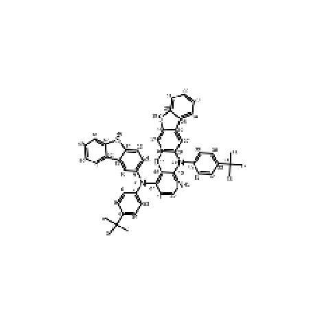 CC(C)(C)c1ccc(N2c3cc4c(cc3B3c5cc6sc7ccccc7c6cc5N(c5ccc(C(C)(C)C)cc5)c5nccc2c53)sc2ccccc24)cc1